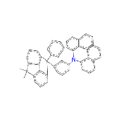 CC1(C)c2cccc3c2-c2c1cccc2C3(c1ccccc1)c1cccc(N(c2cccc3ccccc23)c2cccc3ccccc23)c1